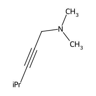 CC(C)C#CCN(C)C